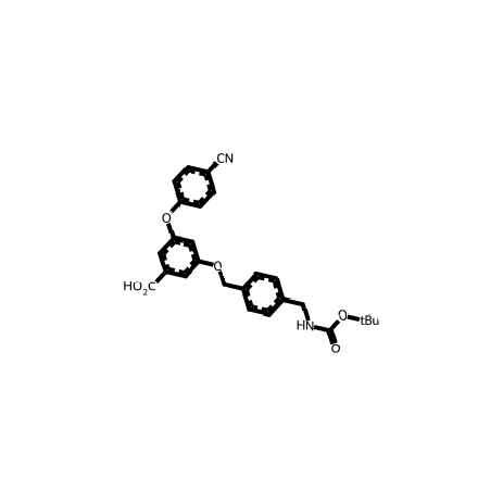 CC(C)(C)OC(=O)NCc1ccc(COc2cc(Oc3ccc(C#N)cc3)cc(C(=O)O)c2)cc1